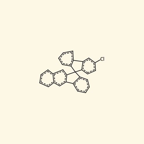 Clc1ccc2c(c1)-c1ccccc1C21c2ccccc2-c2cc3ccccc3cc21